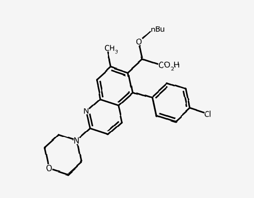 CCCCOC(C(=O)O)c1c(C)cc2nc(N3CCOCC3)ccc2c1-c1ccc(Cl)cc1